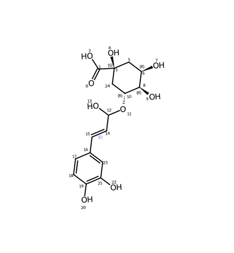 O=C(O)[C@]1(O)C[C@@H](O)[C@@H](O)[C@H](OC(O)/C=C/c2ccc(O)c(O)c2)C1